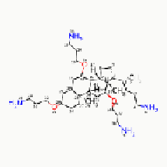 C[C@H](CCCN)[C@H]1CC[C@H]2C3C(OCCCN)CC4C[C@H](OCCCN)CC[C@]4(C)[C@H]3C[C@H](OCCCN)C12C